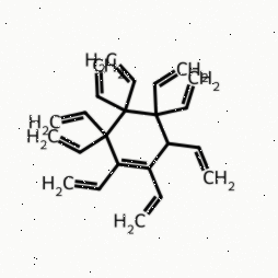 C=CC1=C(C=C)C(C=C)(C=C)C(C=C)(C=C)C(C=C)(C=C)C1C=C